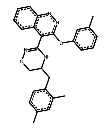 Cc1cccc(Oc2nnc3ccccc3c2C2=NOCC(Cc3ccc(C)cc3C)N2)c1